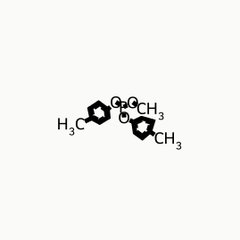 COP(Oc1ccc(C)cc1)Oc1ccc(C)cc1